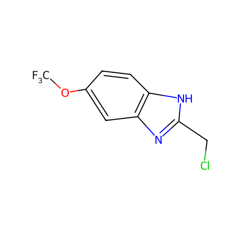 FC(F)(F)Oc1ccc2[nH]c(CCl)nc2c1